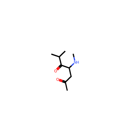 CNC(CC(C)=O)C(=O)C(C)C